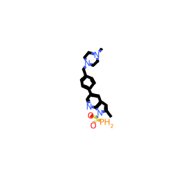 Cc1cc2cc(-c3ccc(CN4CCN(C)CC4)cc3)cnc2n1S(=O)(=O)P